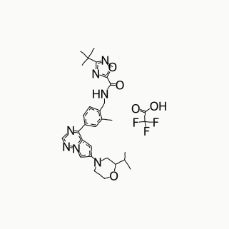 Cc1cc(-c2ncnn3cc(N4CCOC(C(C)C)C4)cc23)ccc1CNC(=O)c1nc(C(C)(C)C)no1.O=C(O)C(F)(F)F